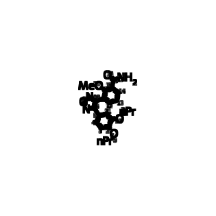 CCCOc1ccc(-c2nonc2-c2cccc(C(N)=O)c2OC)cc1OCCC